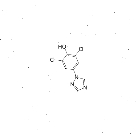 Oc1c(Cl)cc(-n2cn[c]n2)cc1Cl